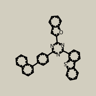 c1ccc2oc(-c3nc(-c4ccc(-c5cccc6ccccc56)cc4)nc(-c4cccc5c4sc4ccccc45)n3)cc2c1